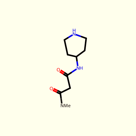 CNC(=O)CC(=O)NC1CCNCC1